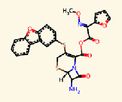 CON=C(C(=O)OC(=O)C1=C(Sc2ccc3oc4ccccc4c3c2)CS[C@H]2C(N)C(=O)N12)c1ccco1